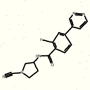 N#CN1CCC(NC(=O)c2ccc(-c3ccnnc3)cc2F)C1